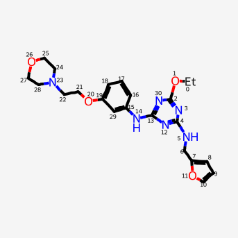 CCOc1nc(NCc2ccco2)nc(Nc2cccc(OCCN3CCOCC3)c2)n1